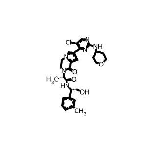 Cc1cccc([C@@H](CO)NC(=O)[C@H](C)N2CCn3cc(-c4nc(NC5CCOCC5)ncc4Cl)cc3C2=O)c1